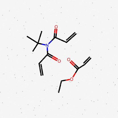 C=CC(=O)N(C(=O)C=C)C(C)(C)C.C=CC(=O)OCC